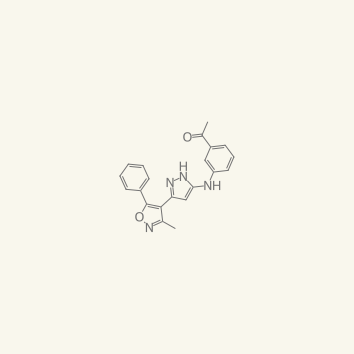 CC(=O)c1cccc(Nc2cc(-c3c(C)noc3-c3ccccc3)n[nH]2)c1